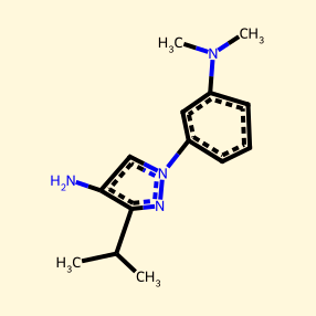 CC(C)c1nn(-c2cccc(N(C)C)c2)cc1N